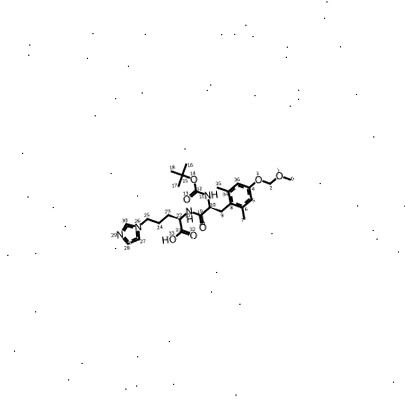 COCOc1cc(C)c(C[C@H](NC(=O)OC(C)(C)C)C(=O)N[C@H](CCCn2ccnc2)C(=O)O)c(C)c1